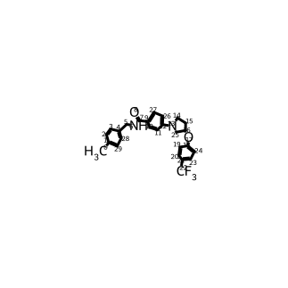 Cc1ccc(CNC(=O)c2ccc(N3CCC(Oc4ccc(C(F)(F)F)cc4)C3)cc2)cc1